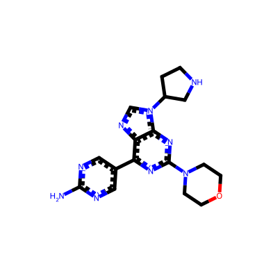 Nc1ncc(-c2nc(N3CCOCC3)nc3c2ncn3C2CCNC2)cn1